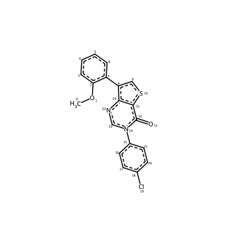 COc1ccccc1-c1csc2c(=O)n(-c3ccc(Cl)cc3)cnc12